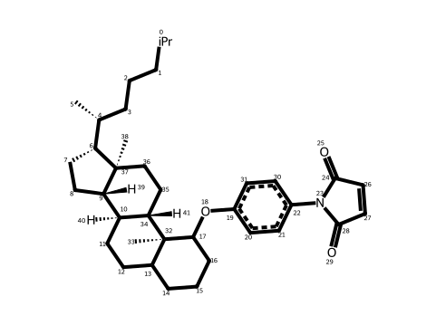 CC(C)CCC[C@@H](C)[C@H]1CC[C@H]2[C@@H]3CCC4CCCC(Oc5ccc(N6C(=O)C=CC6=O)cc5)[C@]4(C)[C@H]3CC[C@]12C